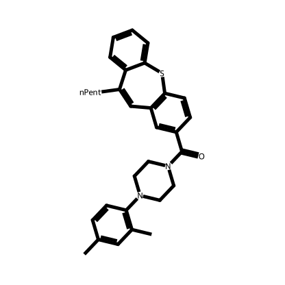 CCCCCC1=Cc2cc(C(=O)N3CCN(c4ccc(C)cc4C)CC3)ccc2Sc2ccccc21